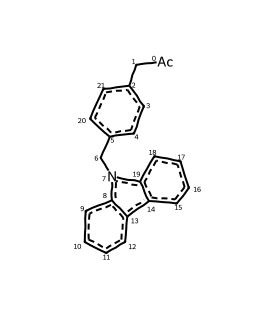 CC(=O)Cc1ccc(Cn2c3ccccc3c3ccccc32)cc1